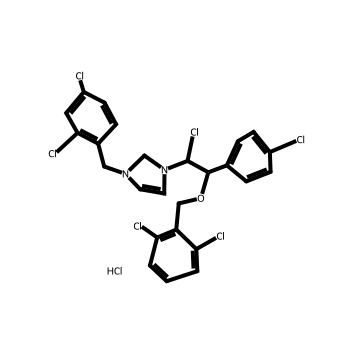 Cl.Clc1ccc(C(OCc2c(Cl)cccc2Cl)C(Cl)N2C=CN(Cc3ccc(Cl)cc3Cl)C2)cc1